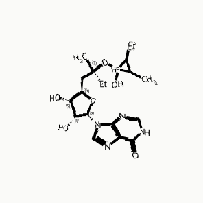 CCC1C(C)[PH]1(O)O[C@@](C)(CC)C[C@H]1O[C@H](n2cnc3c(=O)[nH]cnc32)[C@H](O)[C@@H]1O